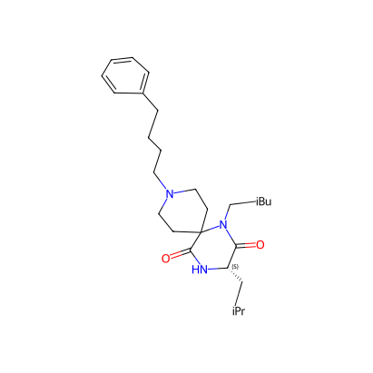 CCC(C)CN1C(=O)[C@H](CC(C)C)NC(=O)C12CCN(CCCCc1ccccc1)CC2